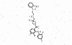 O=C(c1ccc(F)c(F)c1Nc1ccc(I)cc1F)N1CC(O)(CNCCC2CNc3ccccc32)C1